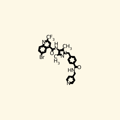 Cc1nn(Cc2ccc(C(=O)NCc3ccncc3)cc2)c(C)c1NC(=O)c1cc(C(F)(F)F)nc2ccc(Br)cc12